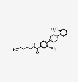 Cc1ccccc1N1CCN(c2ccc(C(=O)NCCCCO)cc2N)CC1